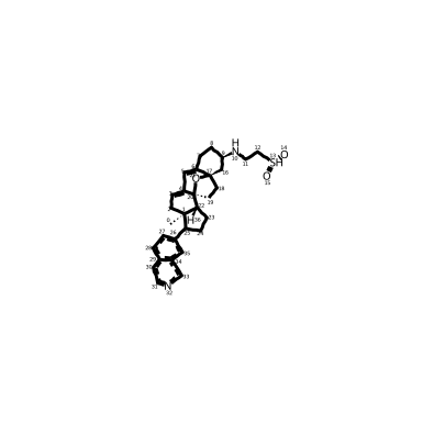 C[C@]12CC=C3C=C4CC[C@@H](NCC[SH](=O)=O)C[C@]45CC[C@]3(O5)[C@@H]1CCC2c1ccc2ccncc2c1